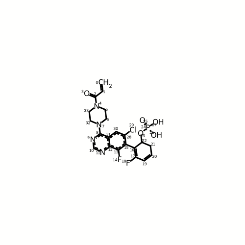 C=CC(=O)N1CCN(c2ncnc3c(F)c(C4=C(F)C=CCC4OP(=O)(O)O)c(Cl)cc23)CC1